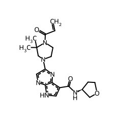 C=CC(=O)N1CCN(c2cnc3[nH]cc(C(=O)N[C@H]4CCOC4)c3n2)CC1(C)C